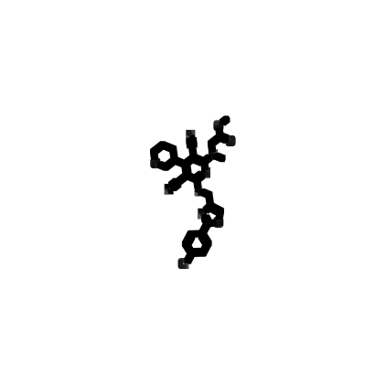 COC(=O)CN(C)c1nc(SCc2coc(-c3ccc(Cl)cc3)n2)c(C#N)c(C2CCCOC2)c1C#N